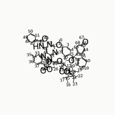 COc1ccc(C(OC[C@@](CO)(CO[Si](C(C)C)(C(C)C)C(C)C)O[C@H](COS(=O)(=O)c2ccc(C)cc2)n2cnc3c(NC(=O)c4ccccc4)ncnc32)(c2ccccc2)c2ccc(OC)cc2)cc1